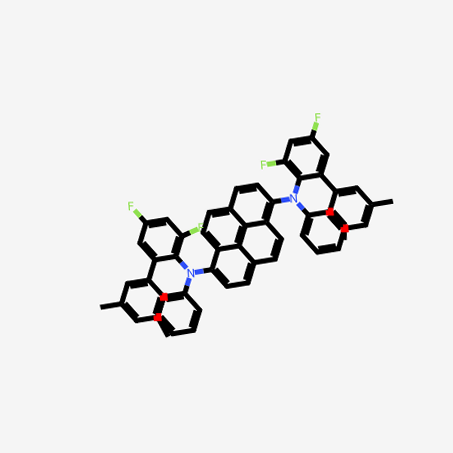 Cc1cc(C)cc(-c2cc(F)cc(F)c2N(c2ccccc2)c2ccc3ccc4c(N(c5ccccc5)c5c(F)cc(F)cc5-c5cc(C)cc(C)c5)ccc5ccc2c3c54)c1